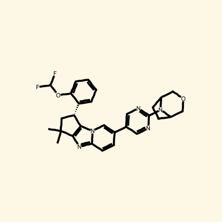 CC1(C)C[C@H](c2ccccc2OC(F)F)c2c1nc1ccc(-c3cnc(N4C5CCC4COC5)nc3)cn21